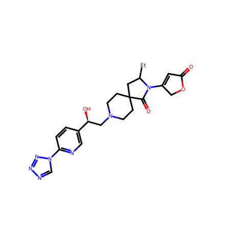 CCC1CC2(CCN(C[C@H](O)c3ccc(-n4cnnn4)nc3)CC2)C(=O)N1C1=CC(=O)OC1